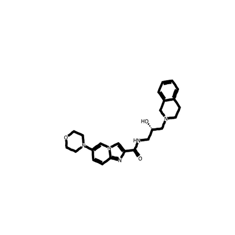 O=C(NC[C@H](O)CN1CCc2ccccc2C1)c1cn2cc(N3CCOCC3)ccc2n1